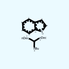 [CH2]CCCC(CCCCCCCCCC)CCCCCCCCCC.[c]1cc2ccccc2s1